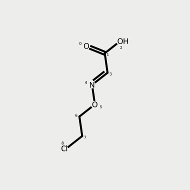 O=C(O)C=NOCCCl